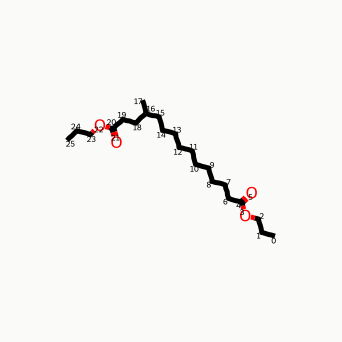 CCCOC(=O)CCCCCCCCCCC(C)CCC(=O)OCCC